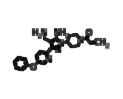 C=CC(=O)N1CCC(n2nc(-c3ccc(Oc4ccccc4)cn3)c(CN)c2N)CC1